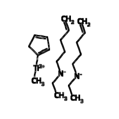 C=CCCC[N-]CC.C=CCCC[N-]CC.[CH3][Ti+2][C]1=CC=CC1